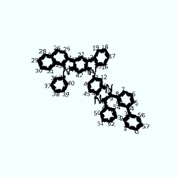 c1ccc(-c2cccc(-c3nc4cc(-n5c6ccccc6c6cc7c8ccc9ccccc9c8n(-c8ccccc8)c7cc65)ccc4nc3-c3ccccc3)c2)cc1